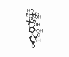 CCC(O)(CC)P(=O)(O)OC(C)(C)C[C@H]1CC(n2ccc(=O)[nH]c2=O)[C@H](O)[C@@H]1O